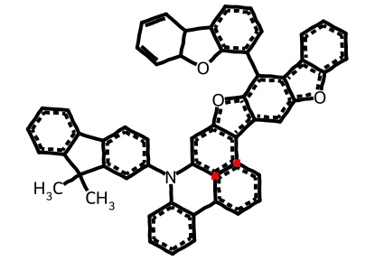 CC1(C)c2ccccc2-c2ccc(N(c3ccc4c(c3)oc3c(-c5cccc6c5OC5C=CC=CC65)c5c(cc34)oc3ccccc35)c3ccccc3-c3ccccc3)cc21